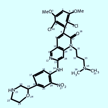 COc1cc(OC)c(Cl)c(-c2cc3cnc(Nc4ccc(C5CNCCO5)cc4[N+](=O)[O-])cc3n(CCCN(C)C)c2=O)c1Cl